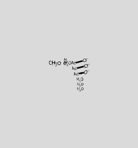 CC(=O)[O-].CC(=O)[O-].CC(=O)[O-].O.O.O.O.O.O.[Cr+3]